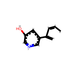 C=C(/C=C\C)c1cncc(O)c1